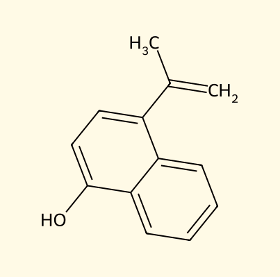 C=C(C)c1ccc(O)c2ccccc12